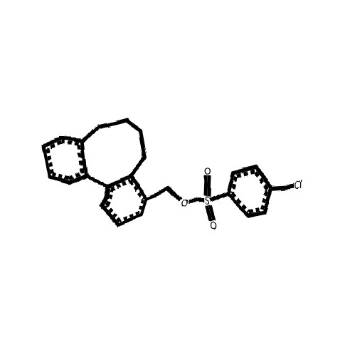 O=S(=O)(OCc1cccc2c1CCCCc1ccccc1-2)c1ccc(Cl)cc1